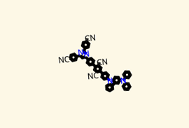 N#Cc1ccc(-c2cc(-c3ccc(-c4cc(C#N)c(-c5ccc(-n6c7ccccc7c7cc(N(c8ccccc8)c8ccccc8)ccc76)cc5)cc4C#N)cc3)nc(-c3ccc(C#N)cc3)n2)cc1